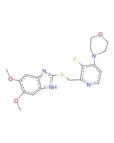 COc1cc2nc(SCc3nccc(N4CCOCC4)c3F)[nH]c2cc1OC